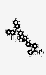 CC1(C)c2cc(-c3ccc4c(c3)c3cccc5c3n4-c3ccccc3C5(C)C)ccc2-c2ccc(N(c3ccc4ccccc4c3)c3ccc4ccccc4c3)cc21